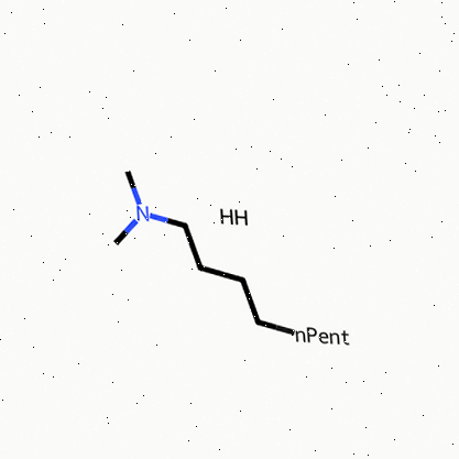 CCCCCCCCCN(C)C.[HH]